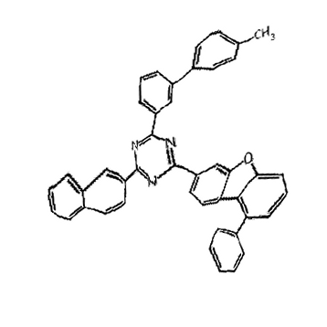 Cc1ccc(-c2cccc(-c3nc(-c4ccc5ccccc5c4)nc(-c4ccc5c(c4)oc4cccc(-c6ccccc6)c45)n3)c2)cc1